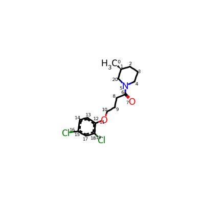 C[C@H]1CCCN(C(=O)CCCOc2ccc(Cl)cc2Cl)C1